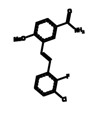 COc1ccc(C(N)=O)cc1/C=C/c1cccc(Cl)c1F